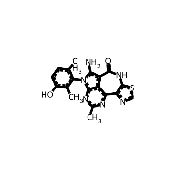 Cc1nc2c3c(c(N)n(-c4c(C)ccc(O)c4C)c3n1)C(=O)Nc1scnc1-2